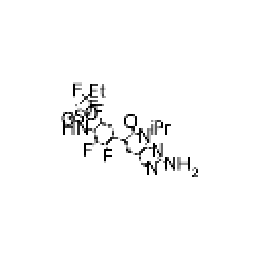 CCC(F)(F)CS(=O)(=O)Nc1c(F)cc(-c2cc3cnc(N)nc3n(C(C)C)c2=O)c(F)c1F